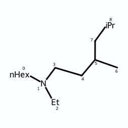 CCCCCCN(CC)CCC(C)CC(C)C